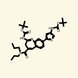 CCCN(CCC)C(=O)C1=Cc2ccc(-c3cc(NC(=O)OC(C)(C)C)cs3)cc2N=C(NC(=O)OC(C)(C)C)C1